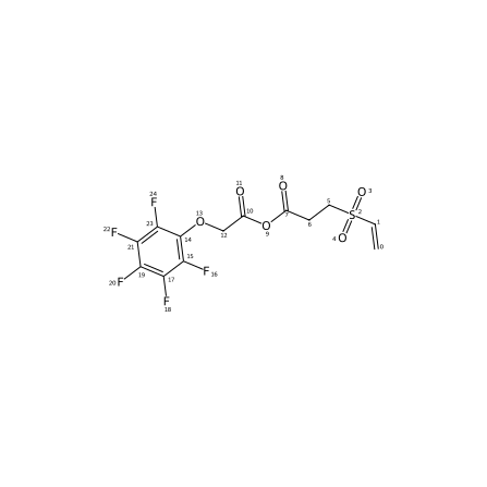 C=CS(=O)(=O)CCC(=O)OC(=O)COc1c(F)c(F)c(F)c(F)c1F